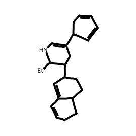 CCC1NC=C(C2C=CC=CC2)CC1C1C=C2C=CCCC2CC1